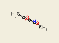 CCCCCOc1ccc(C=Cc2ccc(OC(=O)[C@H]3CC[C@H](CCCCC)CC3)cc2)nc1